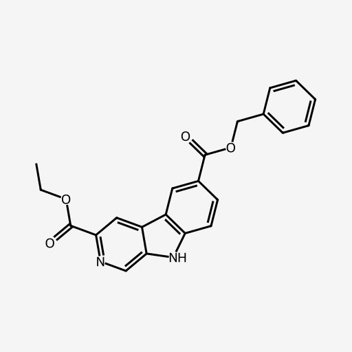 CCOC(=O)c1cc2c(cn1)[nH]c1ccc(C(=O)OCc3ccccc3)cc12